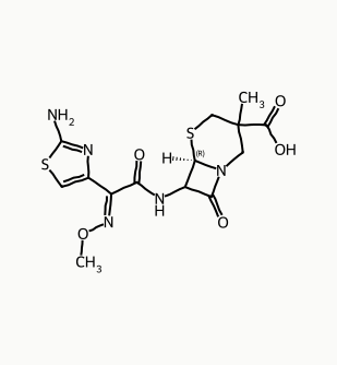 CON=C(C(=O)NC1C(=O)N2CC(C)(C(=O)O)CS[C@H]12)c1csc(N)n1